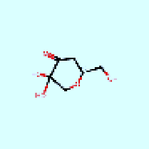 O=C1C[C@@H](CO)OCC1(O)O